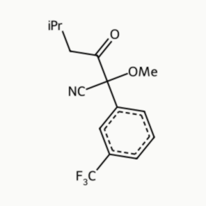 COC(C#N)(C(=O)CC(C)C)c1cccc(C(F)(F)F)c1